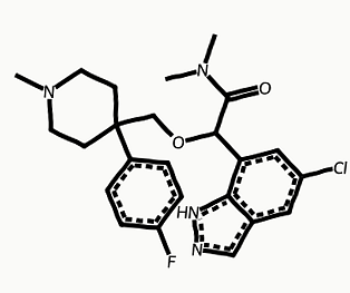 CN1CCC(COC(C(=O)N(C)C)c2cc(Cl)cc3cn[nH]c23)(c2ccc(F)cc2)CC1